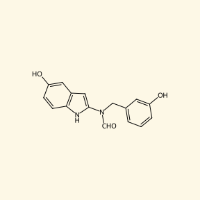 O=CN(Cc1cccc(O)c1)c1cc2cc(O)ccc2[nH]1